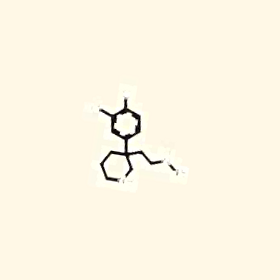 CC(C)NCCC1(c2ccc(Cl)c(Cl)c2)CCCNC1